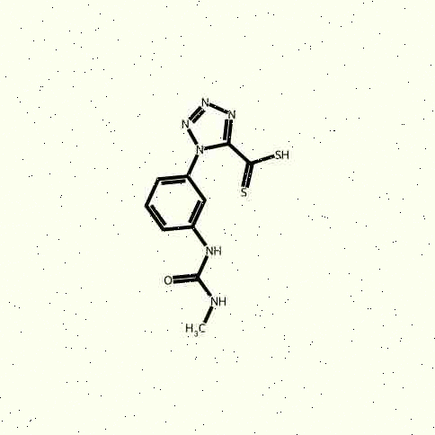 CNC(=O)Nc1cccc(-n2nnnc2C(=S)S)c1